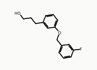 OCCCc1cccc(OCc2cccc(F)c2)c1